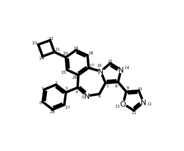 c1ccc(C2=NCc3c(-c4cnco4)ncn3-c3ccc(C4CCC4)cc32)cc1